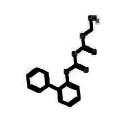 CCOC(=O)OC(=O)Oc1ccccc1-c1ccccc1